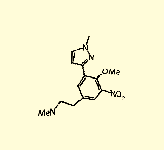 CNCCc1cc(-c2ccn(C)n2)c(OC)c([N+](=O)[O-])c1